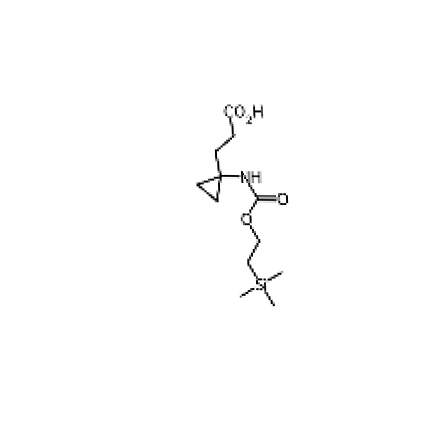 C[Si](C)(C)CCOC(=O)NC1(CCC(=O)O)CC1